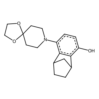 Oc1ccc(N2CCC3(CC2)OCCO3)c2c1C1CCC2C1